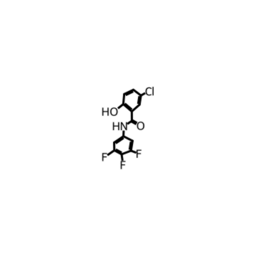 O=C(Nc1cc(F)c(F)c(F)c1)c1cc(Cl)ccc1O